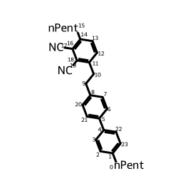 CCCCCc1ccc(-c2ccc(CCc3ccc(CCCCC)c(C#N)c3C#N)cc2)cc1